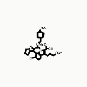 COc1ccc(COCc2nn3c(c2-c2c(Cl)ccc4c(CCCOC(C)=O)c(C(O)OC)n(C)c24)CCC3)cc1